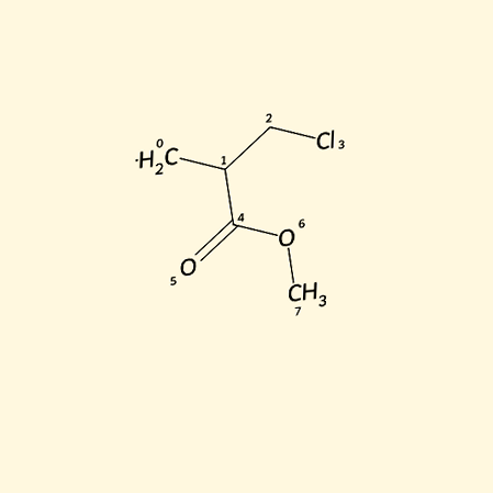 [CH2]C(CCl)C(=O)OC